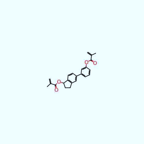 C=C(C)C(=O)Oc1cccc(-c2ccc3c(c2)CCC3OC(=O)C(=C)C)c1